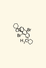 CC1(c2ccc3c(Br)c4ccc(C5(C)CCCCC5)cc4c(Br)c3c2)CCCCC1